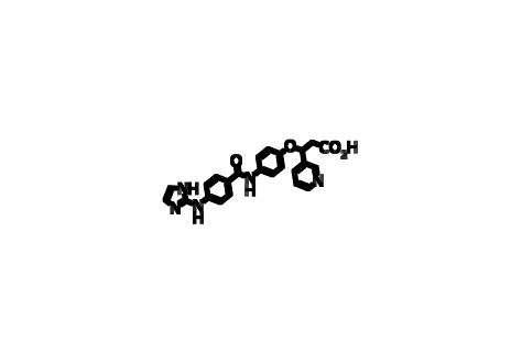 O=C(O)CC(Oc1ccc(NC(=O)c2ccc(Nc3ncc[nH]3)cc2)cc1)c1cccnc1